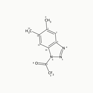 Cc1cc2nnn(C(=O)C(F)(F)F)c2cc1C